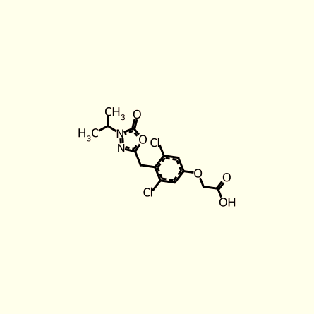 CC(C)n1nc(Cc2c(Cl)cc(OCC(=O)O)cc2Cl)oc1=O